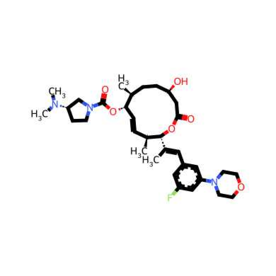 C/C(=C\c1cc(F)cc(N2CCOCC2)c1)[C@H]1OC(=O)C[C@H](O)CC[C@H](C)[C@@H](OC(=O)N2CC[C@H](N(C)C)C2)/C=C/[C@@H]1C